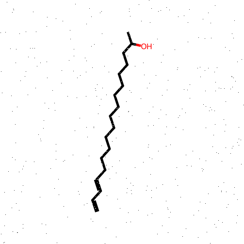 C=CC=CCCCCCCCCCCCCC(C)O